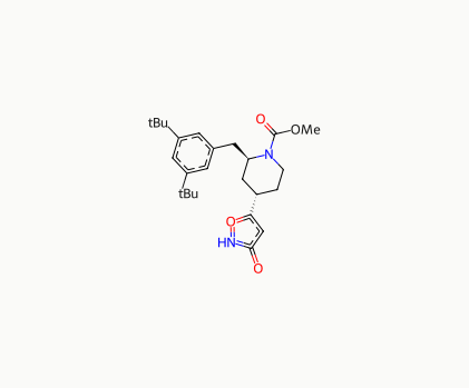 COC(=O)N1CC[C@H](c2cc(=O)[nH]o2)C[C@H]1Cc1cc(C(C)(C)C)cc(C(C)(C)C)c1